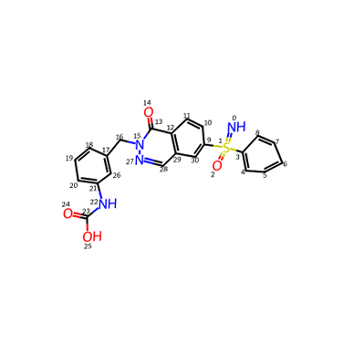 N=S(=O)(c1ccccc1)c1ccc2c(=O)n(Cc3cccc(NC(=O)O)c3)ncc2c1